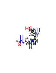 CC(=O)NCc1cccc(Nc2nccc(-c3cnc4c(c3)C(C)(CO)CN4)n2)c1C